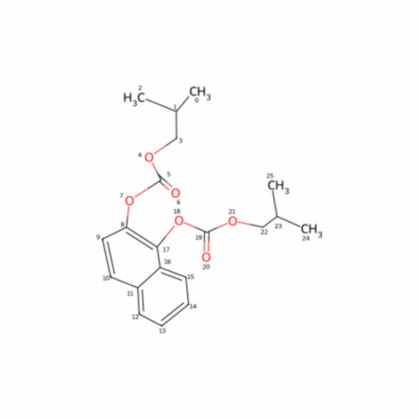 CC(C)COC(=O)Oc1ccc2ccccc2c1OC(=O)OCC(C)C